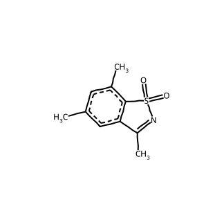 CC1=NS(=O)(=O)c2c(C)cc(C)cc21